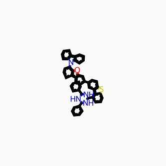 c1ccc(C2NC(c3ccccc3)NC(c3cccc4sc5ccc(-c6ccc7c(c6)oc6c(-n8c9ccccc9c9ccccc98)cccc67)cc5c34)N2)cc1